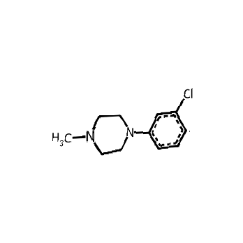 CN1CCN(c2cc[c]c(Cl)c2)CC1